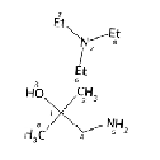 CC(C)(O)CN.CCN(CC)CC